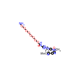 COc1ccc(-c2ccc3ncc4c(c3c2)n(-c2ccc(N3CCN(c5ncc(CNC(=O)CCOCCOCCOCCOCCOCCOCCOCCOCCN)cn5)CC3)c(C(F)(F)F)c2)c(=O)n4C)cn1